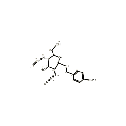 COc1ccc(COC2O[C@H](CO)[C@@H](N=[N+]=[N-])[C@H](O)[C@@H]2N=[N+]=[N-])cc1